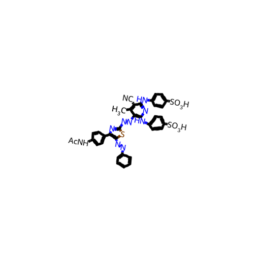 CC(=O)Nc1ccc(-c2nc(N=Nc3c(Nc4ccc(S(=O)(=O)O)cc4)nc(Nc4ccc(S(=O)(=O)O)cc4)c(C#N)c3C)sc2N=Nc2ccccc2)cc1